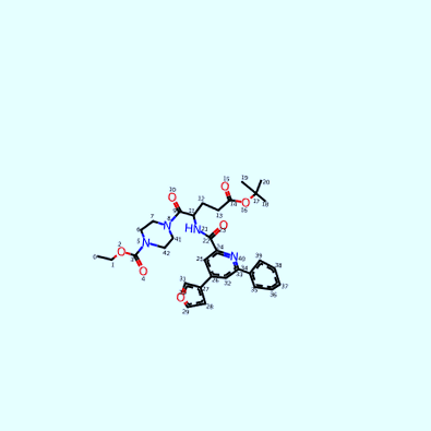 CCOC(=O)N1CCN(C(=O)C(CCC(=O)OC(C)(C)C)NC(=O)c2cc(-c3ccoc3)cc(-c3ccccc3)n2)CC1